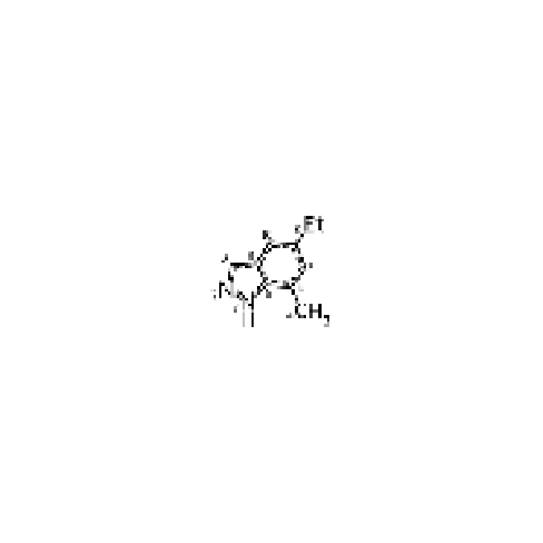 CCc1cc(C)c2[nH]ncc2c1